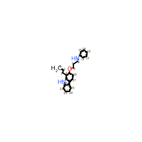 C=CCc1c(OCCCNc2ccccc2)ccc2c1[nH]c1ccccc12